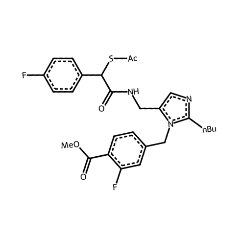 CCCCc1ncc(CNC(=O)C(SC(C)=O)c2ccc(F)cc2)n1Cc1ccc(C(=O)OC)c(F)c1